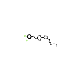 CCCC1CCC(C2CCC(CCc3ccc(F)c(F)c3)CC2)C1